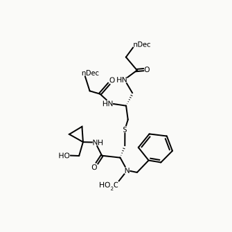 CCCCCCCCCCCC(=O)NC[C@H](CSC[C@@H](C(=O)NC1(CO)CC1)N(Cc1ccccc1)C(=O)O)NC(=O)CCCCCCCCCCC